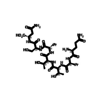 CC(C)[C@H](NC(=O)[C@@H](NC(=O)[C@@H](NC(=O)[C@@H](NC(=O)[C@@H](N)CCC(N)=O)C(C)C)[C@@H](C)O)[C@@H](C)O)C(=O)N[C@@H](CO)C(=O)N[C@@H](CC(N)=O)C(=O)O